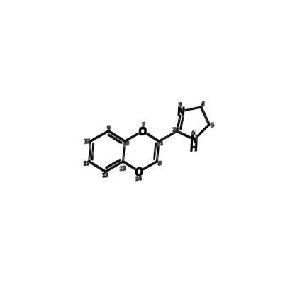 C1=C(C2=NCCN2)Oc2ccccc2O1